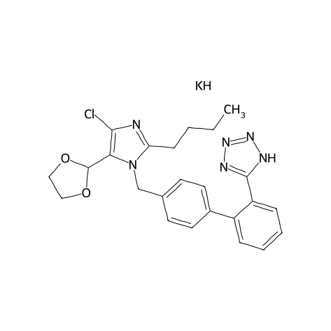 CCCCc1nc(Cl)c(C2OCCO2)n1Cc1ccc(-c2ccccc2-c2nnn[nH]2)cc1.[KH]